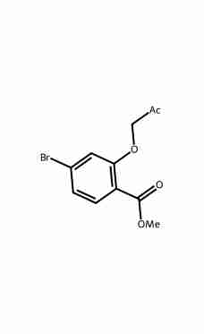 COC(=O)c1ccc(Br)cc1OCC(C)=O